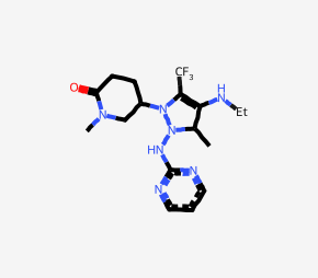 CCNC1=C(C(F)(F)F)N(C2CCC(=O)N(C)C2)N(Nc2ncccn2)C1C